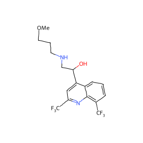 COCCCNCC(O)c1cc(C(F)(F)F)nc2c(C(F)(F)F)cccc12